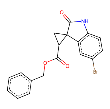 O=C(OCc1ccccc1)C1CC12C(=O)Nc1ccc(Br)cc12